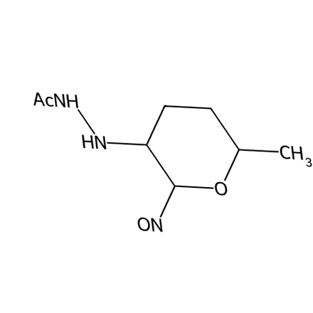 CC(=O)NNC1CCC(C)OC1N=O